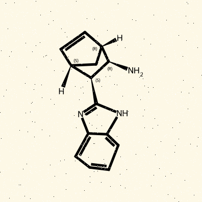 N[C@H]1[C@@H](c2nc3ccccc3[nH]2)[C@@H]2C=C[C@H]1C2